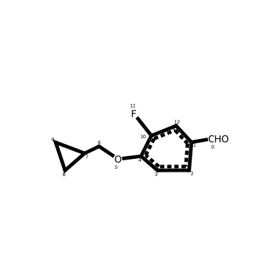 O=Cc1ccc(OCC2CC2)c(F)c1